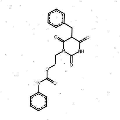 O=C(Nc1ccccc1)OCCN1C(=O)NC(=O)C(Cc2ccccc2)C1=O